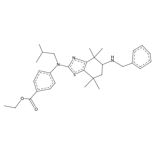 CCOC(=O)c1ccc(N(CC(C)C)c2nc3c(s2)C(C)(C)CC(NCc2ccccc2)C3(C)C)cc1